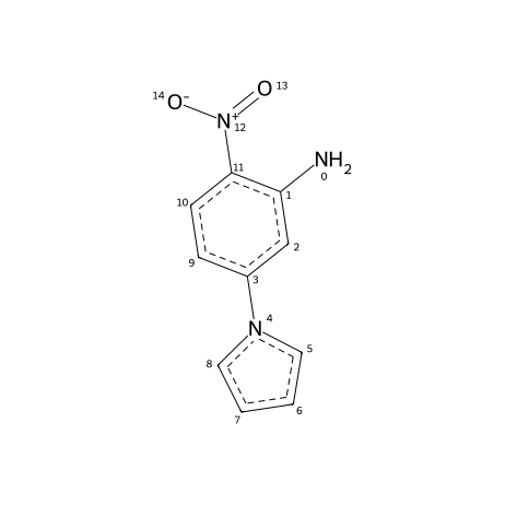 Nc1cc(-n2cccc2)ccc1[N+](=O)[O-]